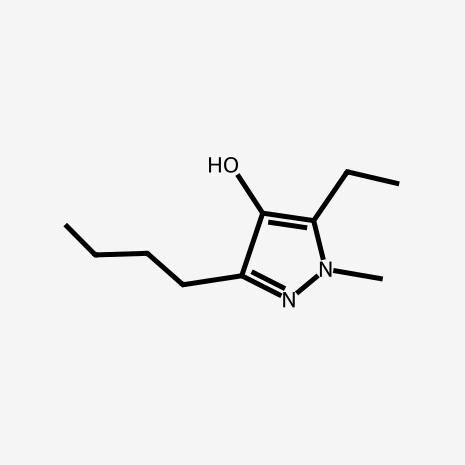 CCCCc1nn(C)c(CC)c1O